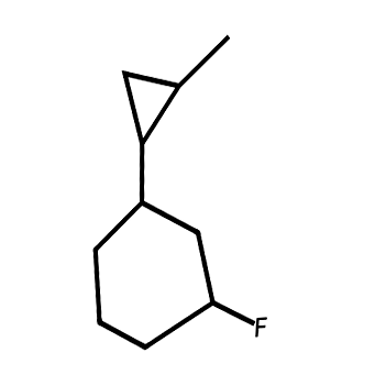 CC1CC1C1CCCC(F)C1